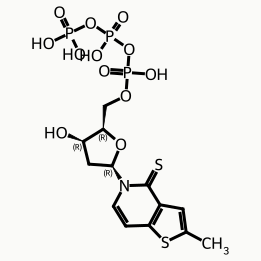 Cc1cc2c(=S)n([C@H]3C[C@@H](O)[C@@H](COP(=O)(O)OP(=O)(O)OP(=O)(O)O)O3)ccc2s1